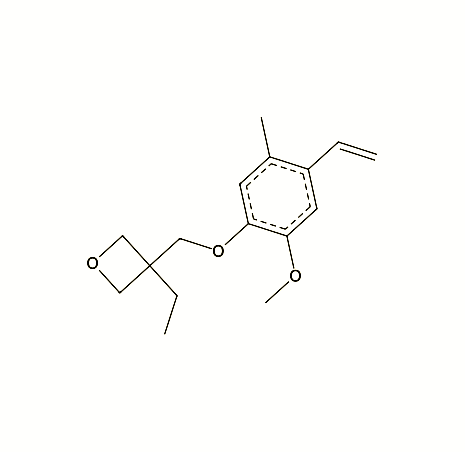 C=Cc1cc(OC)c(OCC2(CC)COC2)cc1C